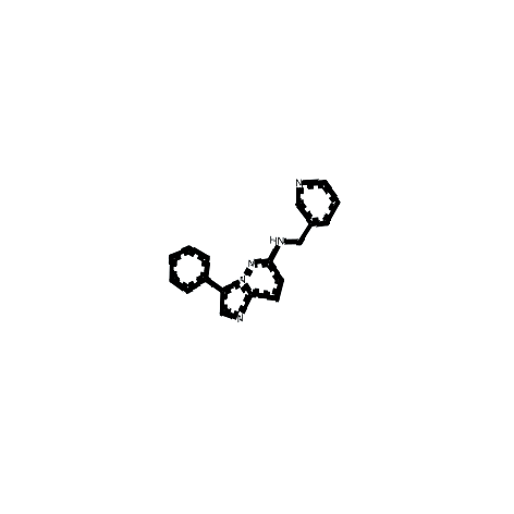 c1ccc(-c2cnc3ccc(NCc4cccnc4)nn23)cc1